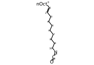 CCCCCCCCC=CCCCCCCCCN=C=O